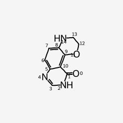 O=c1[nH]cnc2ccc3c(c12)OCCN3